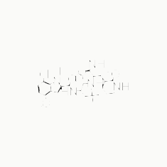 COc1ccc(Cl)c2[nH]c(C(=O)NC(CC(C)(C)C)C(=O)NC(CC3CCCNC3=O)C(N)=O)cc12